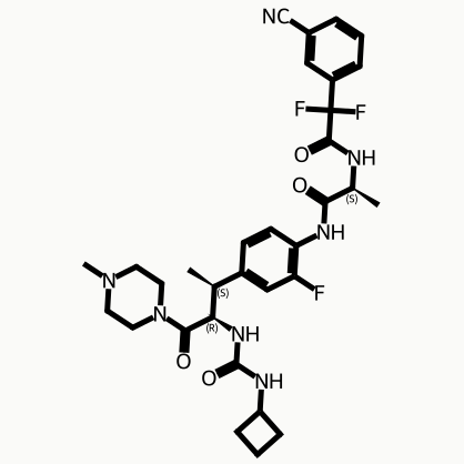 C[C@H](NC(=O)C(F)(F)c1cccc(C#N)c1)C(=O)Nc1ccc([C@H](C)[C@@H](NC(=O)NC2CCC2)C(=O)N2CCN(C)CC2)cc1F